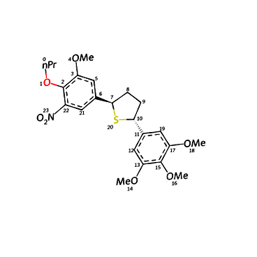 CCCOc1c(OC)cc([C@H]2CC[C@H](c3cc(OC)c(OC)c(OC)c3)S2)cc1[N+](=O)[O-]